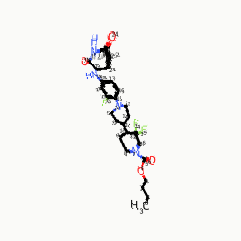 CCCCOC(=O)N1CCC(C2CCN(c3ccc(NC4CCC(=O)NC4=O)cc3F)CC2)C(F)(F)C1